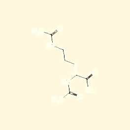 CC(=O)NCCC[C@@H](NC(C)=O)C(=O)O